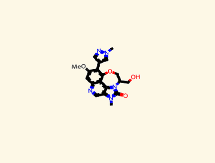 COc1cc2ncc3c4c2c(c1-c1cnn(C)c1)OCC(CO)n4c(=O)n3C